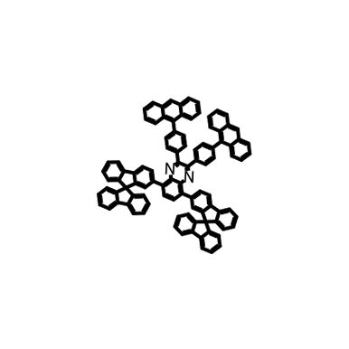 c1ccc2c(c1)-c1ccccc1C21c2ccccc2-c2ccc(-c3ccc(-c4ccc5c(c4)C4(c6ccccc6-c6ccccc64)c4ccccc4-5)c4nc(-c5ccc(-c6c7ccccc7cc7ccccc67)cc5)c(-c5ccc(-c6c7ccccc7cc7ccccc67)cc5)nc34)cc21